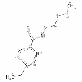 CCc1ccc(C(=O)NCCCOC)nc1